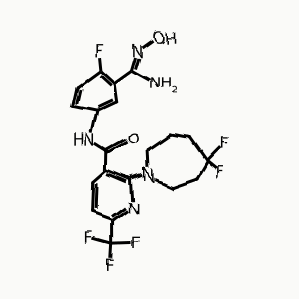 NC(=NO)c1cc(NC(=O)c2ccc(C(F)(F)F)nc2N2CCCC(F)(F)CC2)ccc1F